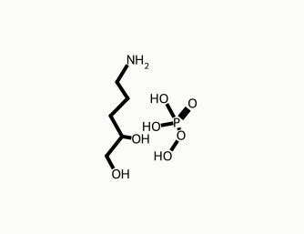 NCCCC(O)CO.O=P(O)(O)OO